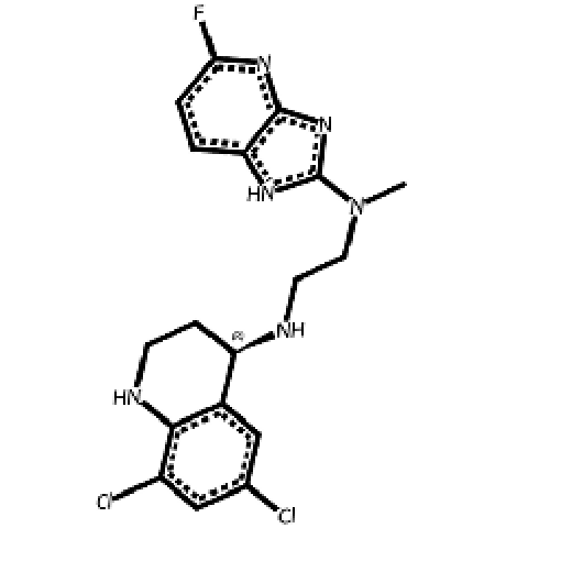 CN(CCN[C@@H]1CCNc2c(Cl)cc(Cl)cc21)c1nc2nc(F)ccc2[nH]1